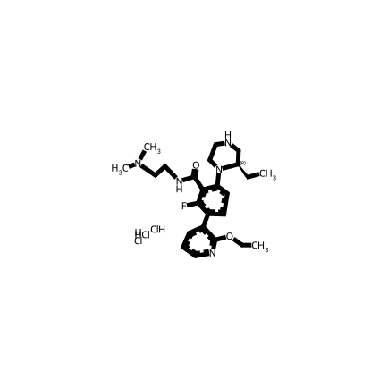 CCOc1ncccc1-c1ccc(N2CCNC[C@H]2CC)c(C(=O)NCCN(C)C)c1F.Cl.Cl.Cl